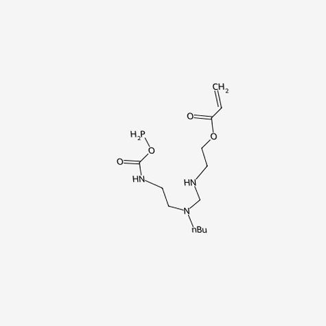 C=CC(=O)OCCNCN(CCCC)CCNC(=O)OP